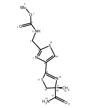 CC(C)(C)OC(=O)NCc1nc(C2=N[C@](C)(C(N)=O)CS2)cs1